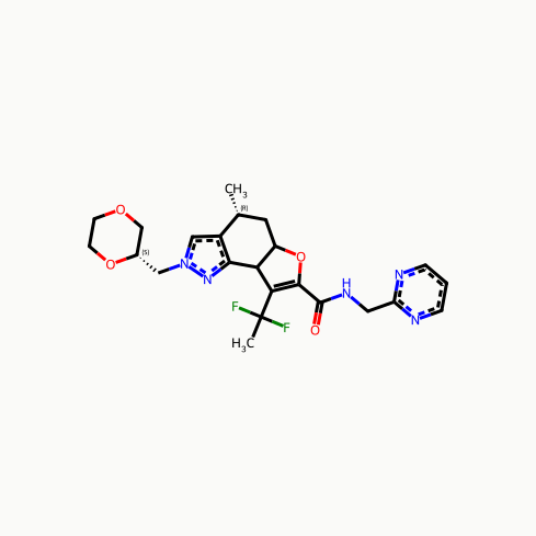 C[C@@H]1CC2OC(C(=O)NCc3ncccn3)=C(C(C)(F)F)C2c2nn(C[C@H]3COCCO3)cc21